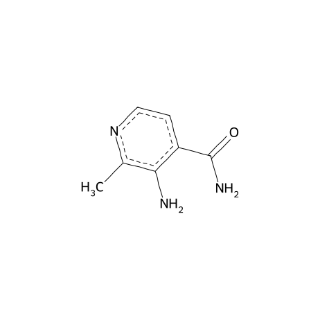 Cc1nccc(C(N)=O)c1N